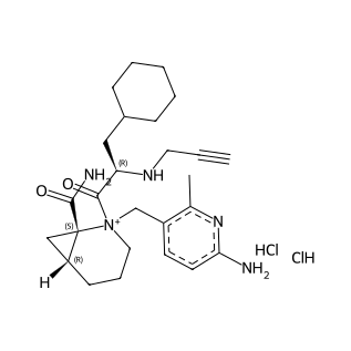 C#CCN[C@H](CC1CCCCC1)C(=O)[N+]1(Cc2ccc(N)nc2C)CCC[C@@H]2C[C@@]21C(N)=O.Cl.Cl